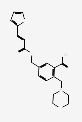 O=C(/C=C/c1cccs1)NCc1ccc(CN2CCOCC2)c(C(=O)O)c1